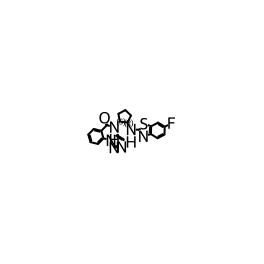 O=C(N[C@H]1CCC[C@H]1Nc1nc2ccc(F)cc2s1)c1ccccc1-n1ccnn1